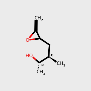 C=C1OC1C[C@@H](C)[C@H](C)O